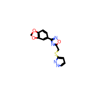 c1cnnc(SCc2nc(-c3ccc4c(c3)OCO4)no2)c1